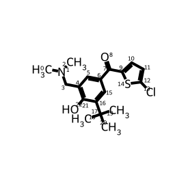 CN(C)Cc1cc(C(=O)c2ccc(Cl)s2)cc(C(C)(C)C)c1O